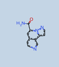 NC(=O)c1cc2ccncc2c2ccnn12